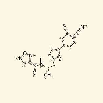 C[C@@H](Cn1ccc(-c2ccc(C#N)c(Cl)c2)n1)NC(=O)c1cnon1